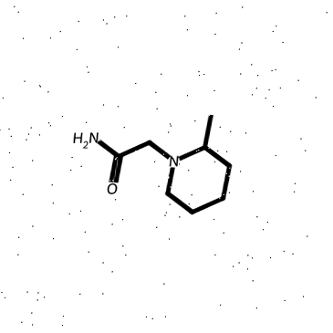 CC1CCCCN1CC(N)=O